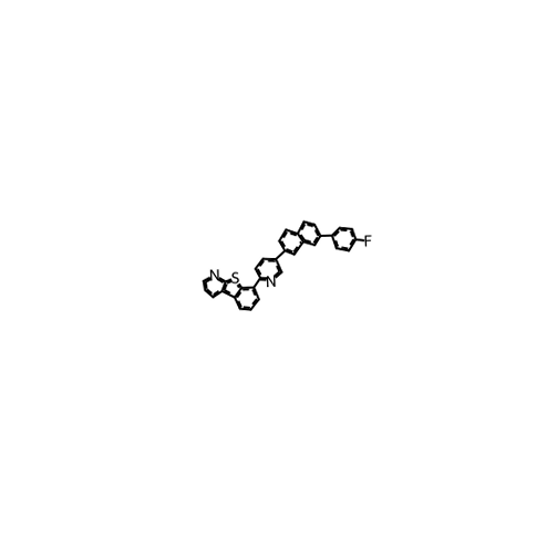 Fc1ccc(-c2ccc3ccc(-c4ccc(-c5cccc6c5sc5ncccc56)nc4)cc3c2)cc1